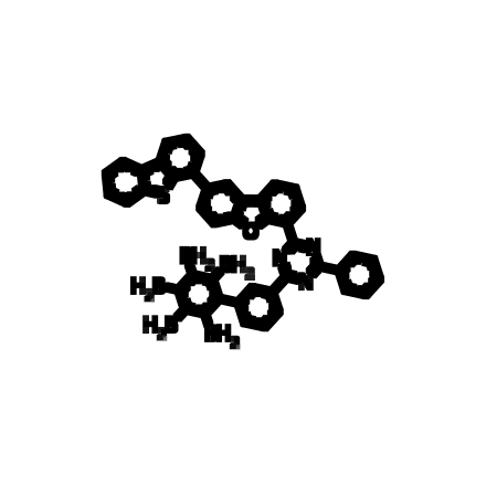 Bc1c(B)c(B)c(-c2cccc(-c3nc(-c4ccccc4)nc(-c4cccc5c4oc4ccc(-c6cccc7c6sc6ccccc67)cc45)n3)c2)c(B)c1B